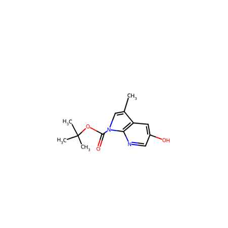 Cc1cn(C(=O)OC(C)(C)C)c2ncc(O)cc12